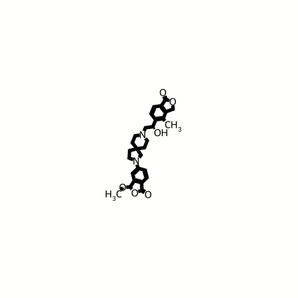 COC1OC(=O)c2ccc(N3CCC4(CCN(C[C@H](O)c5ccc6c(c5C)COC6=O)CC4)C3)cc21